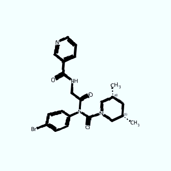 C[C@@H]1C[C@H](C)CN(C(=O)N(C(=O)CNC(=O)c2cccnc2)c2ccc(Br)cc2)C1